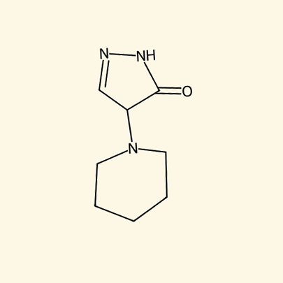 O=C1NN=CC1N1CCCCC1